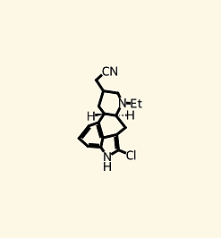 CCN1CC(CC#N)C[C@H]2c3cccc4[nH]c(Cl)c(c34)C[C@@H]21